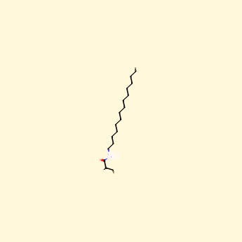 CC(CS)C(=O)NCCCCCCCCCCCCCCC(=O)O